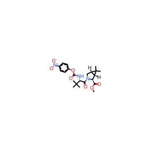 COC(=O)[C@@H]1[C@@H]2[C@H](CN1C(=O)[C@@H](NC(=O)Oc1ccc([N+](=O)[O-])cc1)C(C)(C)C)C2(C)C